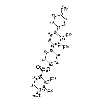 CCCC1CCC(c2ccc(C3CCC(OC(=O)C4=CCC(CC)C(F)=C4F)CC3)c(F)c2F)CC1